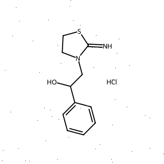 Cl.N=C1SCCN1CC(O)c1ccccc1